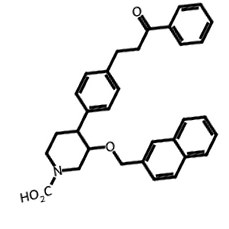 O=C(CCc1ccc(C2CCN(C(=O)O)CC2OCc2ccc3ccccc3c2)cc1)c1ccccc1